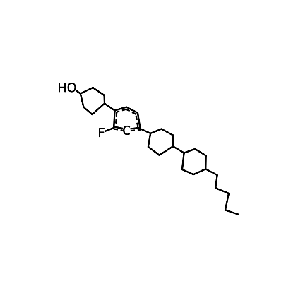 CCCCCC1CCC(C2CCC(c3ccc(C4CCC(O)CC4)c(F)c3)CC2)CC1